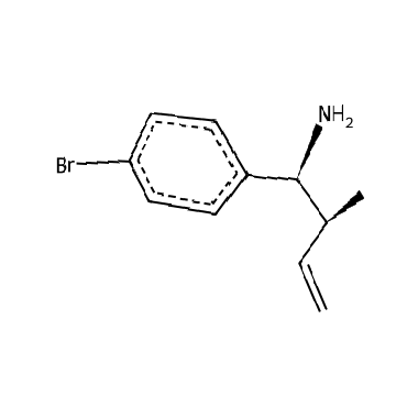 C=C[C@H](C)[C@H](N)c1ccc(Br)cc1